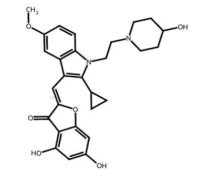 COc1ccc2c(c1)c(/C=C1\Oc3cc(O)cc(O)c3C1=O)c(C1CC1)n2CCN1CCC(O)CC1